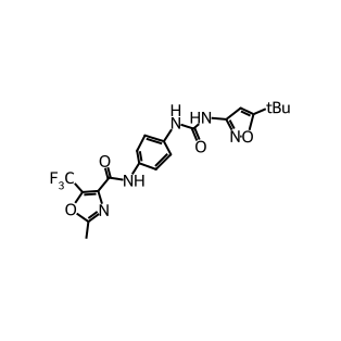 Cc1nc(C(=O)Nc2ccc(NC(=O)Nc3cc(C(C)(C)C)on3)cc2)c(C(F)(F)F)o1